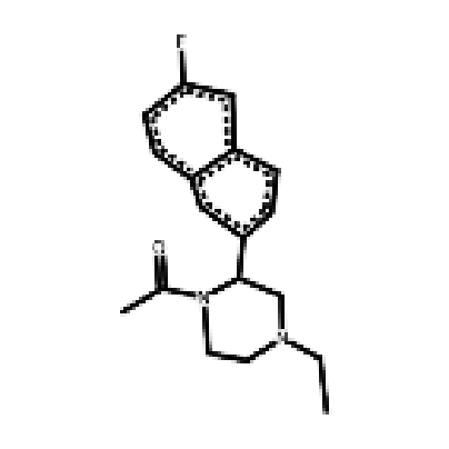 CCN1CCN(C(C)=O)C(c2ccc3cc(F)ccc3c2)C1